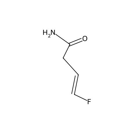 NC(=O)CC=CF